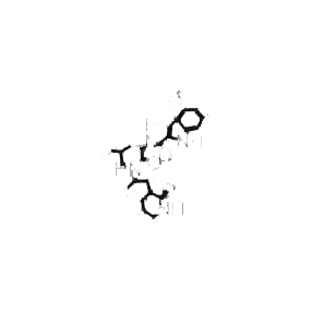 COc1cccc2[nH]c(C(=O)N[C@@H](CC(C)C)C(=O)NC(C)CC3CCCNC3=O)cc12